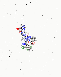 CCc1c(N2CCN(C(=O)c3ncnc(C)c3O)CC2)c(=O)n2nc(-c3cccc4c3CCO4)nc2n1CC(=O)Nc1ccc(C(F)(F)F)cc1Cl